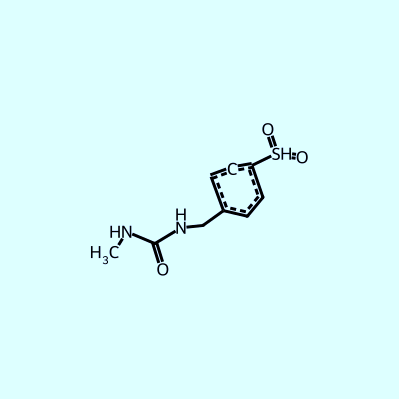 CNC(=O)NCc1ccc([SH](=O)=O)cc1